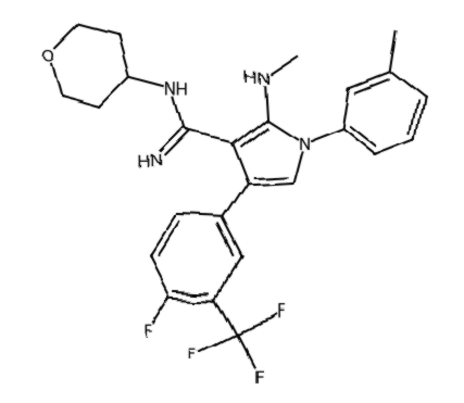 CNc1c(C(=N)NC2CCOCC2)c(-c2ccc(F)c(C(F)(F)F)c2)cn1-c1cccc(C)c1